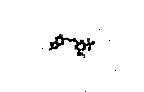 Cc1cc2cc(CCSc3nc(N)cc(C(F)(F)F)n3)ncc2s1